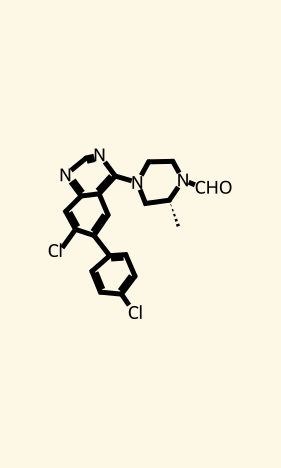 C[C@@H]1CN(c2ncnc3cc(Cl)c(-c4ccc(Cl)cc4)cc23)CCN1C=O